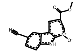 COC(=O)c1cc2c3cc(C#N)ccc3[nH]c2[n+]([O-])c1